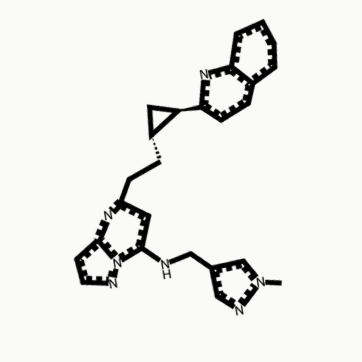 Cn1cc(CNc2cc(CC[C@@H]3C[C@H]3c3ccc4ccccc4n3)nc3ccnn23)cn1